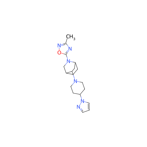 Cc1noc(N2CC3CCC2CC3N2CCC(n3cccn3)CC2)n1